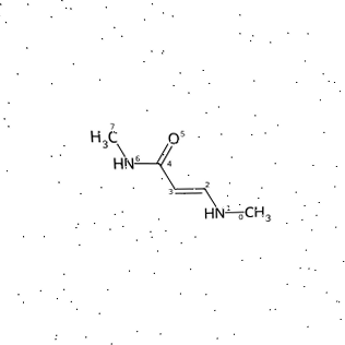 CNC=CC(=O)NC